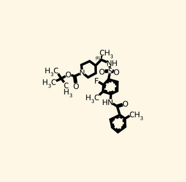 Cc1ccccc1C(=O)Nc1ccc(S(=O)(=O)N[C@H](C)C2CCN(C(=O)OC(C)(C)C)CC2)c(F)c1C